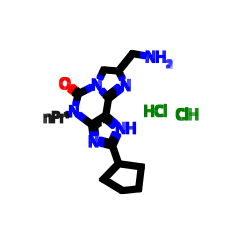 CCCN1C(=O)N2CC(CN)N=C2c2[nH]c(C3CCCC3)nc21.Cl.Cl